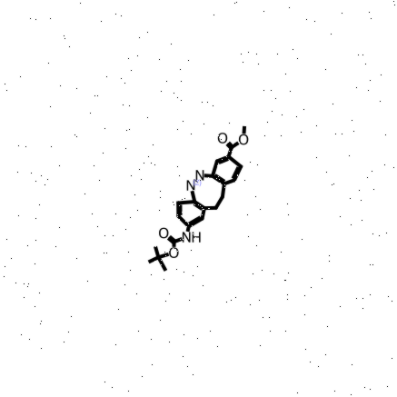 COC(=O)c1ccc2c(c1)/N=N\c1ccc(NC(=O)OC(C)(C)C)cc1CC2